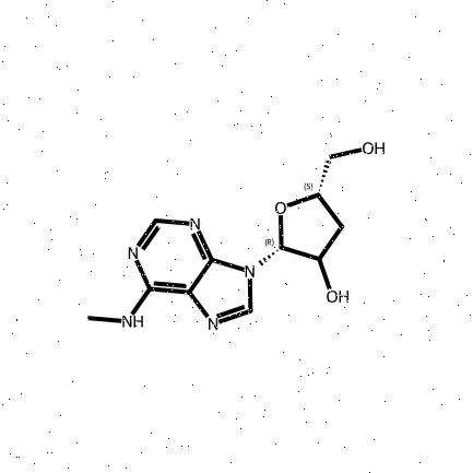 CNc1ncnc2c1ncn2[C@@H]1O[C@H](CO)CC1O